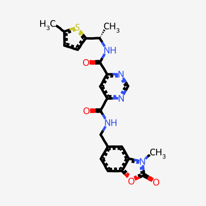 Cc1ccc([C@H](C)NC(=O)c2cc(C(=O)NCc3ccc4oc(=O)n(C)c4c3)ncn2)s1